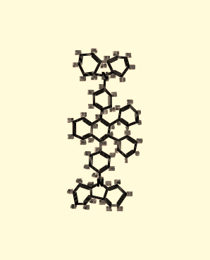 c1ccc(-c2c(-c3ccccc3)c(-c3ccc(-n4c5ccccc5c5ccccc54)cc3)c3ccccc3c2-c2ccc(-n3c4ccccc4c4ccccc43)cc2)cc1